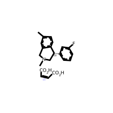 Cc1ccc2c(c1)CN(C)C[C@H]2c1cccc(F)c1.O=C(O)/C=C\C(=O)O